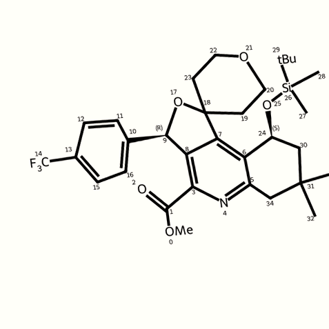 COC(=O)c1nc2c(c3c1[C@@H](c1ccc(C(F)(F)F)cc1)OC31CCOCC1)[C@@H](O[Si](C)(C)C(C)(C)C)CC(C)(C)C2